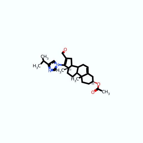 CC(=O)O[C@H]1CCC2(C)C(=CCC3C2CC[C@]2(C)C(n4cnc(C(C)C)c4)=C(C=O)CC32)C1